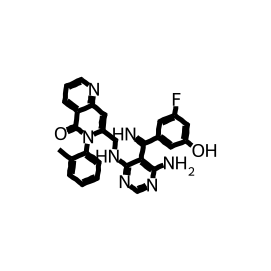 Cc1ccccc1-n1c(CNc2ncnc(N)c2C(=N)c2cc(O)cc(F)c2)cc2ncccc2c1=O